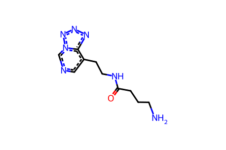 NCCCC(=O)NCCc1cncn2nnnc12